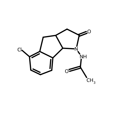 CC(=O)NN1C(=O)CC2Cc3c(Cl)cccc3C21